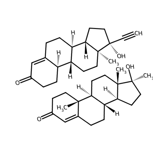 C#C[C@]1(O)CC[C@H]2[C@@H]3CCC4=CC(=O)CC[C@@H]4[C@H]3CC[C@@]21C.C[C@]12CCC(=O)C=C1CC[C@@H]1[C@@H]2CC[C@@]2(C)[C@H]1CC[C@]2(C)O